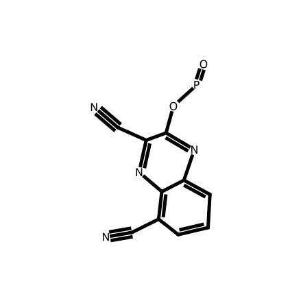 N#Cc1nc2c(C#N)cccc2nc1OP=O